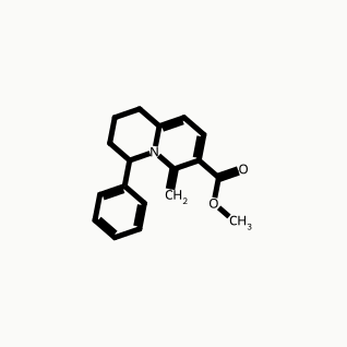 C=C1C(C(=O)OC)=CC=C2CCCC(c3ccccc3)N12